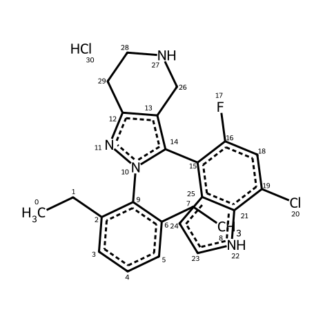 CCc1cccc(CC)c1-n1nc2c(c1-c1c(F)cc(Cl)c3[nH]ccc13)CNCC2.Cl